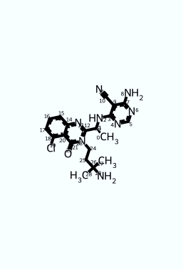 C[C@H](Nc1ncnc(N)c1C#N)c1nc2cccc(Cl)c2c(=O)n1CCC(C)(C)N